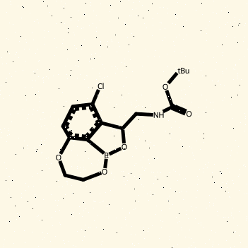 CC(C)(C)OC(=O)NCC1OB2OCCOc3ccc(Cl)c1c32